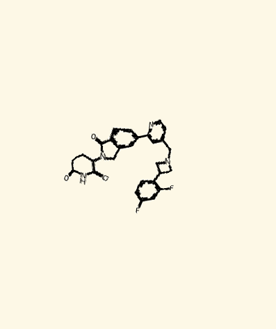 O=C1CCC(N2Cc3cc(-c4cc(CN5CC(c6ccc(F)cc6F)C5)ccn4)ccc3C2=O)C(=O)N1